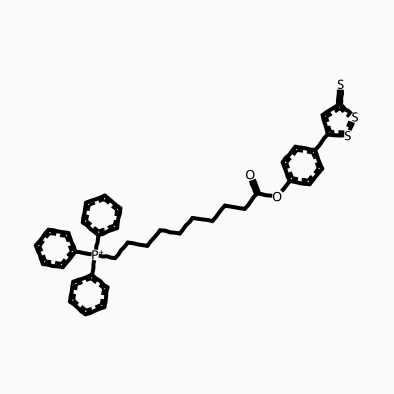 O=C(CCCCCCCCC[P+](c1ccccc1)(c1ccccc1)c1ccccc1)Oc1ccc(-c2cc(=S)ss2)cc1